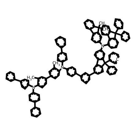 Cc1cc(-c2ccc(N(c3ccc(-c4ccccc4)cc3)c3ccc(-c4cccc(-c5ccc6c(c5)-c5ccc(N(c7ccc8c(c7)C(C)(C)c7ccccc7-8)c7cccc8c7-c7ccccc7C8(c7ccccc7)c7ccccc7)cc5C6(c5ccccc5)c5ccccc5)c4)cc3)c(C)c2)ccc1N(c1ccc(-c2ccccc2)cc1)c1ccc(-c2ccccc2)cc1